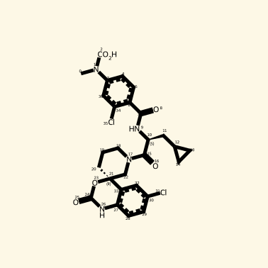 CN(C(=O)O)c1ccc(C(=O)N[C@@H](CC2CC2)C(=O)N2CCC[C@@]3(C2)OC(=O)Nc2ccc(Cl)cc23)c(Cl)c1